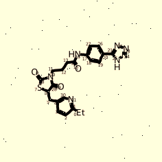 CCc1ccc(CC2SC(=O)N(CCCC(=O)Nc3ccc(-c4nnn[nH]4)cc3)C2=O)cn1